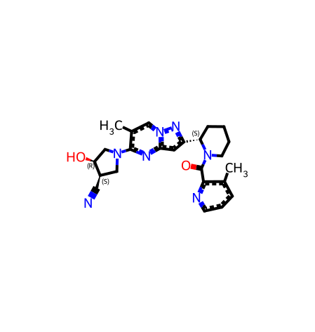 Cc1cccnc1C(=O)N1CCCC[C@H]1c1cc2nc(N3C[C@@H](C#N)[C@@H](O)C3)c(C)cn2n1